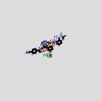 CC(C)N(C)Cc1ccccc1NC(=O)OCC[N+]1(C[C@](O)(c2cc(F)ccc2F)[C@@H](C)c2nc(-c3ccc(C#N)cc3)cs2)C=NC=N1.Cl.[Cl-]